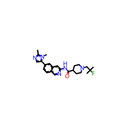 Cc1ncc(-c2ccc3cnc(NC(=O)C4CCN(CC(C)(C)F)CC4)cc3c2)n1C